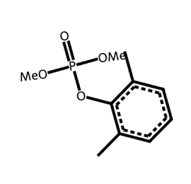 COP(=O)(OC)Oc1c(C)cccc1C